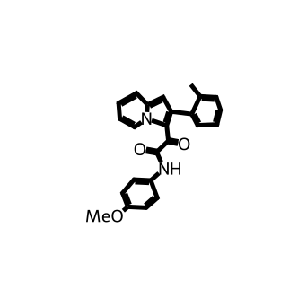 COc1ccc(NC(=O)C(=O)c2c(-c3ccccc3C)cc3ccccn23)cc1